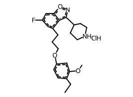 CCc1ccc(OCCCc2cc(F)cc3onc(C4CCNCC4)c23)cc1OC.Cl